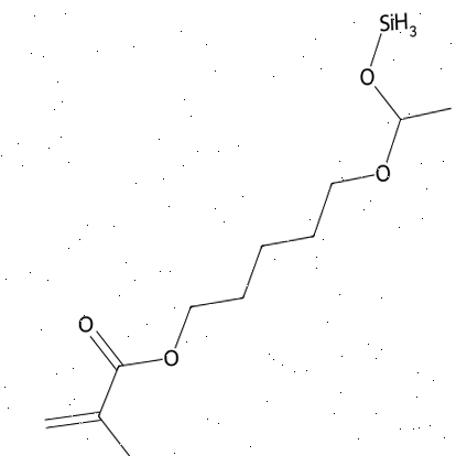 C=C(C)C(=O)OCCCCCOC(C)O[SiH3]